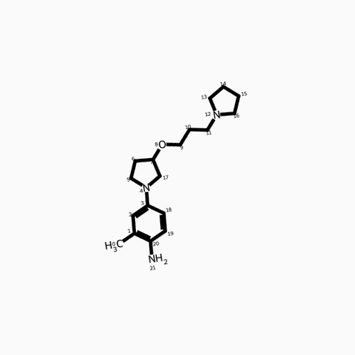 Cc1cc(N2CCC(OCCCN3CCCC3)C2)ccc1N